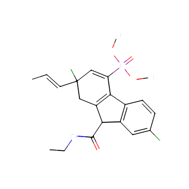 CCC=CC1(F)C=C(P(=O)(OCCCC)OCCCC)C2=C(C1)C(C(=O)NCC(F)(F)F)c1cc(F)ccc12